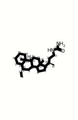 CC[C@H]1CC2C3CCC([C@H](C)CCNC(N)=O)C3(C)CC[C@@H]2C2(C)CCCCC12